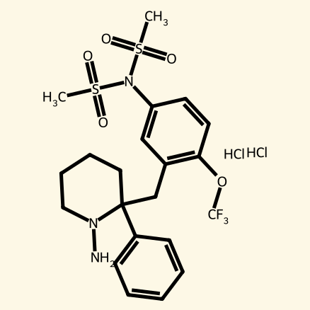 CS(=O)(=O)N(c1ccc(OC(F)(F)F)c(CC2(c3ccccc3)CCCCN2N)c1)S(C)(=O)=O.Cl.Cl